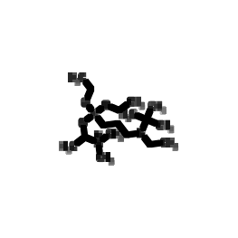 CCO[Si](CCCN(CC)C(C)(C)C)(OCC)OC(C)[SiH](C)C